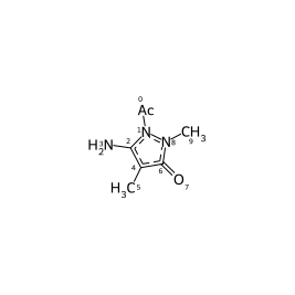 CC(=O)n1c(N)c(C)c(=O)n1C